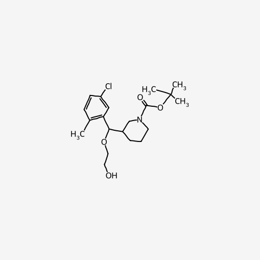 Cc1ccc(Cl)cc1C(OCCO)C1CCCN(C(=O)OC(C)(C)C)C1